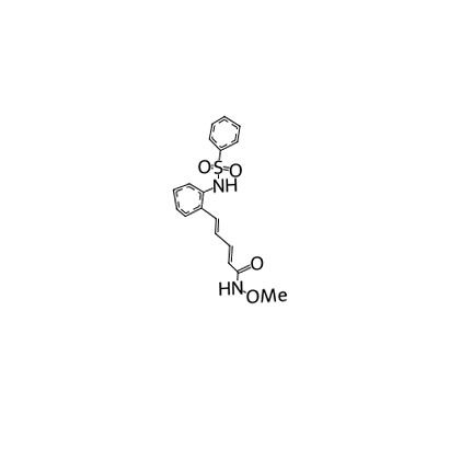 CONC(=O)/C=C/C=C/c1ccccc1NS(=O)(=O)c1ccccc1